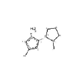 Cc1cc([C@@H]2CCCN2C)sn1.Cl